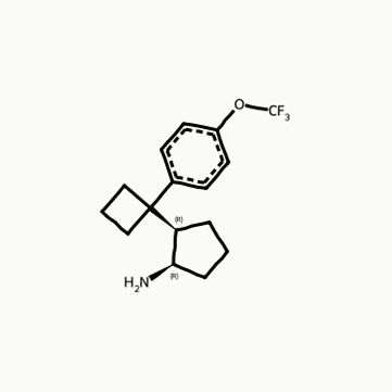 N[C@@H]1CCC[C@@H]1C1(c2ccc(OC(F)(F)F)cc2)CCC1